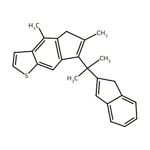 CC1=C(C(C)(C)C2=Cc3ccccc3C2)c2cc3sccc3c(C)c2C1